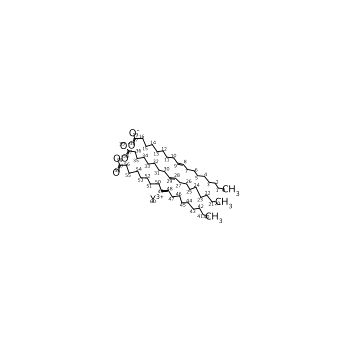 CCCCCCCCC=CCCCCCCCC(=O)[O-].CCCCCCCCC=CCCCCCCCC(=O)[O-].CCCCCCCCC=CCCCCCCCC(=O)[O-].[Y+3]